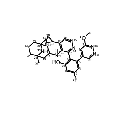 COc1cc(-c2cc(F)cc(O)c2-c2nncc(C3CC3)c2NC2C[C@]3(C)CCC[C@](C)(C2)N3)cnn1